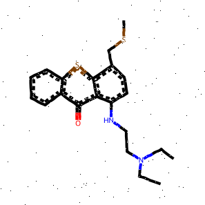 CCN(CC)CCNc1ccc(CSC)c2sc3ccccc3c(=O)c12